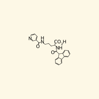 O=C(NCCC[C@H](NC(=O)C1c2ccccc2-c2ccccc21)C(=O)O)c1cccnc1